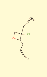 C=CCC1OCC1(Cl)CC=C